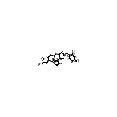 CC(C)[C@@H](O)CC1CCN(CC2CN(Cc3ccc(Cl)cc3Cl)CC2c2ccsc2)CC1